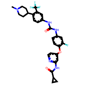 CN1CCC(c2ccc(NC(=O)Nc3ccc(Oc4ccnc(NC(=O)C5CC5)c4)c(F)c3)cc2C(F)(F)F)CC1